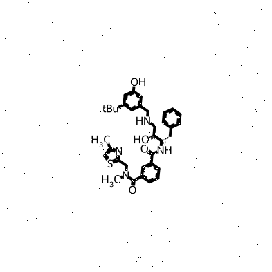 Cc1csc(CN(C)C(=O)c2cccc(C(=O)N[C@@H](Cc3ccccc3)[C@H](O)CNCc3cc(O)cc(C(C)(C)C)c3)c2)n1